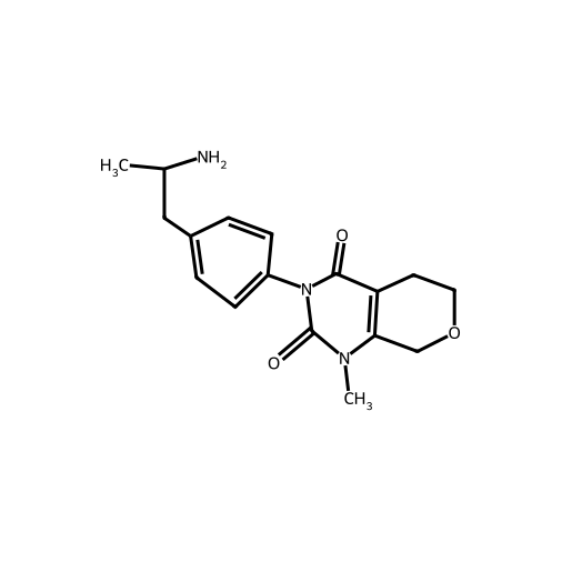 CC(N)Cc1ccc(-n2c(=O)c3c(n(C)c2=O)COCC3)cc1